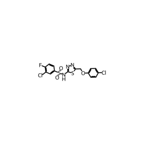 O=S(=O)(Nc1nnc(COc2ccc(Cl)cc2)s1)c1ccc(F)c(Cl)c1